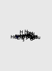 C/C(CCNC(=O)CCNC(=O)[C@H](O)C(C)(C)COP(=O)(O)OC(C)(C)C)=N\O